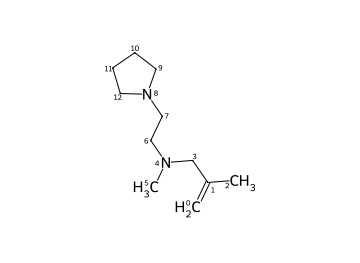 C=C(C)CN(C)CCN1CCCC1